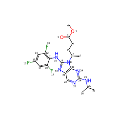 COC(=O)CC[C@@H](C)n1c(Nc2c(F)cc(F)cc2F)nc2cnc(NC(C)C)nc21